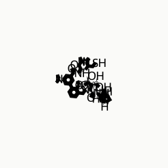 C=NC(CS)C[C@H](NC(=O)c1cc(-c2cccc(CN3O[C@@H](CO)[C@@H]([C@H](C)O)[C@H]3C(=O)N[C@H]3C[C@H]4C[C@@H]([C@@H]3C)C4(C)C)c2OC)cc(N(C)C)c1)C(=O)N(C)C